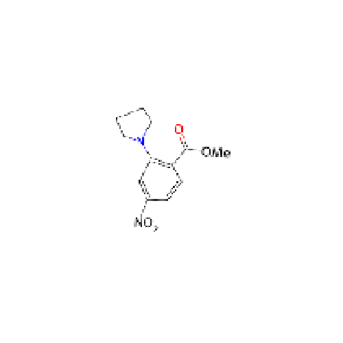 COC(=O)c1ccc([N+](=O)[O-])cc1N1CCCC1